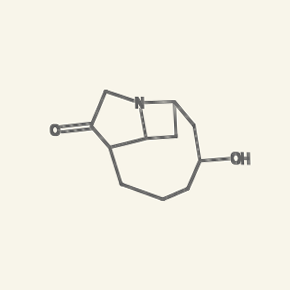 O=C1CN2C3CC(O)CCCC1C2C3